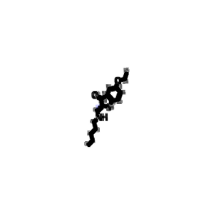 CCCCCN/C=C1\Sc2ccc(OCC)cc2C1=O